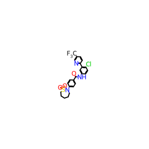 O=C(Nc1ccc(Cl)c(-c2ccc(C(F)(F)F)cn2)c1)c1ccc(N2CCCCCS2(=O)=O)cc1